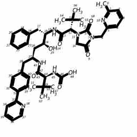 Cc1cccc(CN2C(=O)CN([C@H](C(=O)N[C@@H](Cc3ccccc3)[C@@H](O)C[C@H](Cc3ccc(-c4ccccn4)cc3)NC(=O)[C@@H](NC(=O)O)C(C)(C)C)C(C)(C)C)C2=O)n1